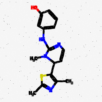 Cc1nc(C)c(C2C=CN=C(Nc3cccc(O)c3)N2C)s1